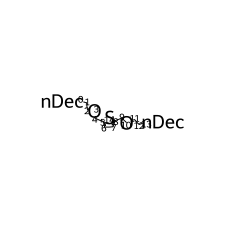 CCCCCCCCCCCCOCc1ccc(COCCCCCCCCCCCC)s1